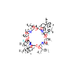 CC(C)CC[C@H]1C(=O)O[C@H](Cc2ccc(C(C)(C)C)cc2)C(=O)N(C)C(CC(C)(C)F)C(=O)O[C@H](C)C(=O)N(C)[C@@H](CC(C)C)C(=O)O[C@H](Cc2ccc(C(C)(C)C)cc2)C(=O)N(C)[C@@H](CC(C)(C)F)C(=O)O[C@H](C)C(=O)N1C